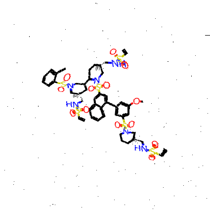 C=CS(=O)(=O)NC[C@H]1CCCN(S(=O)(=O)c2cc(OC)cc(-c3cc(S(=O)(=O)N4C[C@@H](CNS(=O)(=O)C=C)CCC4C4C[C@H](CNS(=O)(=O)C=C)CN(S(=O)(=O)c5ccccc5C)C4)cc4ccccc34)c2)C1